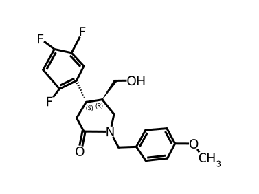 COc1ccc(CN2C[C@H](CO)[C@@H](c3cc(F)c(F)cc3F)CC2=O)cc1